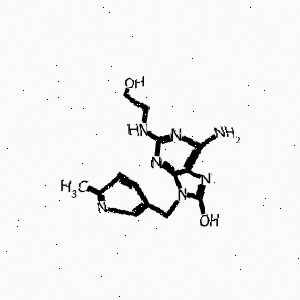 Cc1ccc(Cn2c(O)nc3c(N)nc(NCCO)nc32)cn1